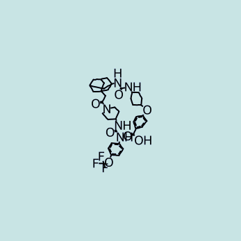 O=C(Nc1ccc(OC(F)(F)F)cc1)NC1CCN(C(=O)CC23CC4CC(C2)CC(NC(=O)NC2CCC(Oc5ccc(C(=O)O)cc5)CC2)(C4)C3)CC1